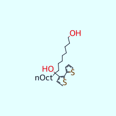 CCCCCCCCC(O)(CCCCCCCCO)c1ccsc1-c1cccs1